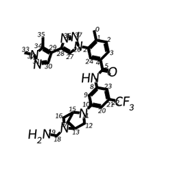 Cc1ccc(C(=O)Nc2cc(N3CC4CC3CN4CN)cc(C(F)(F)F)c2)cc1-n1cc(-c2cnn(C)c2C)nn1